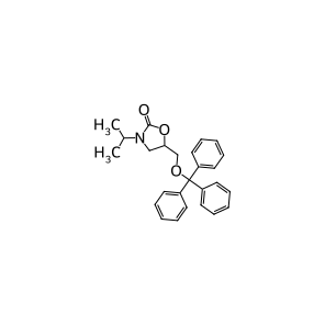 CC(C)N1CC(COC(c2ccccc2)(c2ccccc2)c2ccccc2)OC1=O